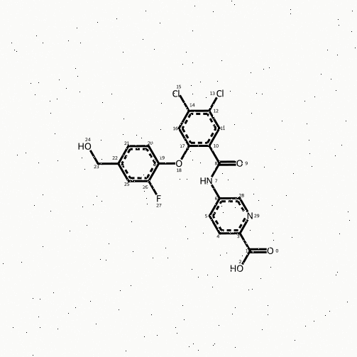 O=C(O)c1ccc(NC(=O)c2cc(Cl)c(Cl)cc2Oc2ccc(CO)cc2F)cn1